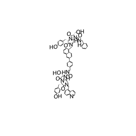 O=C1[C@H](Cc2ccc(O)cc2)N2C(=O)[C@H](CO)N(C(=O)NCc3ccccc3)[C@H]2CN1Cc1cccc2cc(-c3ccc(CNC(=O)N4[C@H]5CN(Cc6cccc7ncccc67)C(=O)[C@H](Cc6ccc(O)cc6)N5C(=O)[C@@H]4CO)cc3)ccc12